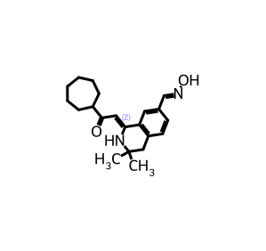 CC1(C)Cc2ccc(C=NO)cc2/C(=C/C(=O)C2CCCCCC2)N1